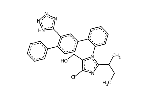 CCC(C)c1nc(Cl)c(CO)n1-c1ccccc1-c1ccc(-c2ccccc2)c(-c2nnn[nH]2)c1